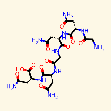 NCC(=O)N[C@@H](CC(N)=O)C(=O)N[C@@H](CC(N)=O)C(=O)NCC(=O)N[C@@H](CC(N)=O)C(=O)N[C@@H](CC(N)=O)C(=O)O